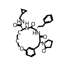 O=C(NCC1CC1)[C@@H]1CCCCOc2cccc(c2)C[C@H](N2CCCC2=O)C(=O)N[C@@H](CCc2ccccc2)C(=O)N1